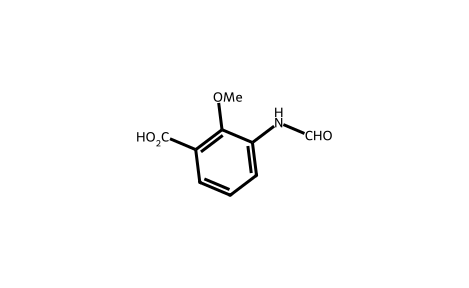 COc1c(NC=O)cccc1C(=O)O